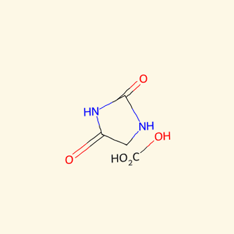 O=C(O)O.O=C1CNC(=O)N1